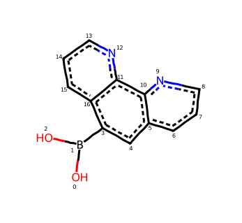 OB(O)c1cc2cccnc2c2ncccc12